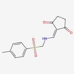 Cc1ccc(S(=O)(=O)CNC=C2C(=O)CCC2=O)cc1